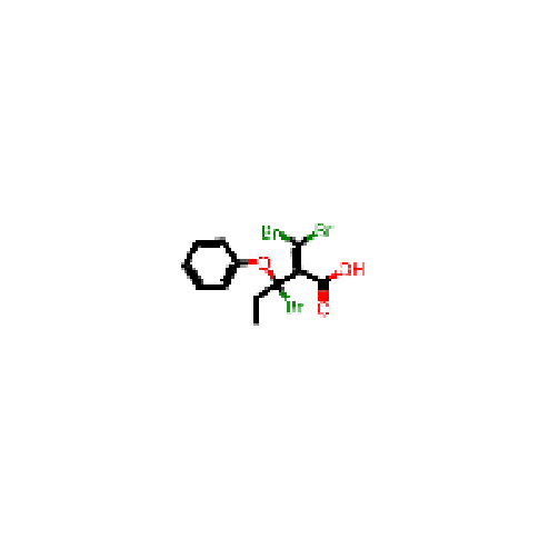 CCC(Br)(Oc1ccccc1)C(C(=O)O)=C(Br)Br